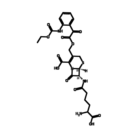 CCOC(=O)Nc1ccccc1C(=O)C(=O)OCC1=C(C(=O)O)N2C(=O)[C@@H](NC(=O)CCCC(N)C(=O)O)[C@@H]2SC1